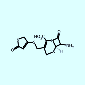 NC1C(=O)N2C(C(=O)O)=C(CSC3=CC(=O)SC3)CS[C@H]12